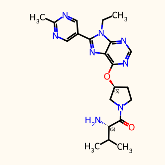 CCn1c(-c2cnc(C)nc2)nc2c(O[C@H]3CCN(C(=O)[C@@H](N)C(C)C)C3)ncnc21